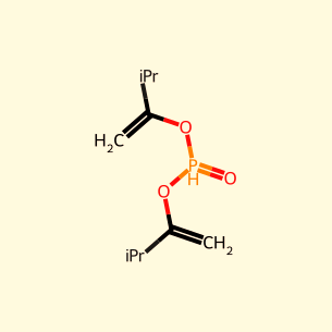 C=C(O[PH](=O)OC(=C)C(C)C)C(C)C